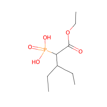 CCOC(=O)C(C(CC)CC)P(=O)(O)O